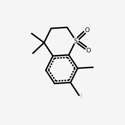 [C]c1ccc2c(c1C)S(=O)(=O)CCC2(C)C